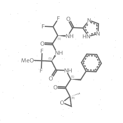 COC(F)(F)[C@@H](NC(=O)[C@H](NC(=O)c1ncn[nH]1)C(F)F)C(=O)N[C@@H](Cc1ccccc1)C(=O)[C@@]1(C)CO1